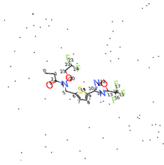 CCC(=O)N(Cc1ccc(-c2noc(C(F)(F)F)n2)s1)OCC(F)F